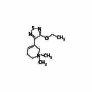 CCOc1nsnc1C1=CCC[N+](C)(C)C1